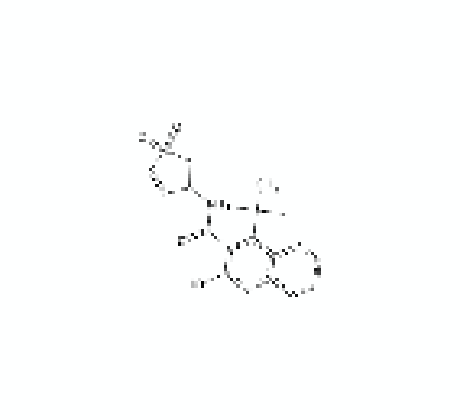 CC(F)(F)c1c(C(=O)NC2C=CS(=O)(=O)C2)c(O)nc2ccccc12